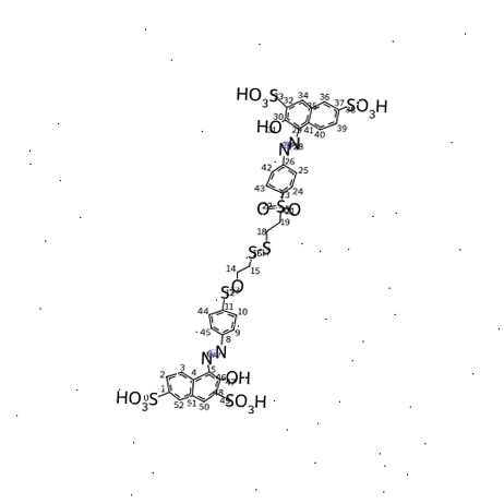 O=S(=O)(O)c1ccc2c(/N=N/c3ccc(SOCCSSCCS(=O)(=O)c4ccc(/N=N/c5c(O)c(S(=O)(=O)O)cc6cc(S(=O)(=O)O)ccc56)cc4)cc3)c(O)c(S(=O)(=O)O)cc2c1